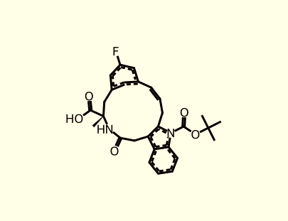 CC(C)(C)OC(=O)n1c2c(c3ccccc31)CC(=O)N[C@](C)(C(=O)O)Cc1cc(F)cc(c1)/C=C\C2